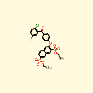 CC(C)(C)COS(=O)(=O)c1ccc2cc(Oc3ccc(C(=O)c4cc(Cl)ccc4Cl)cc3)c(S(=O)(=O)OCC(C)(C)C)cc2c1